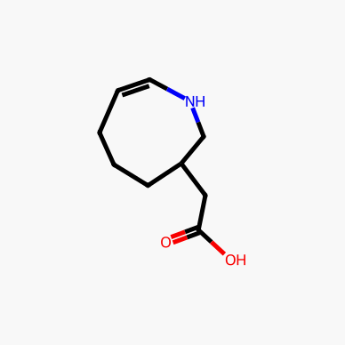 O=C(O)CC1CCCC=CNC1